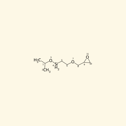 CC(C)O[SiH2]CCOCC1CO1